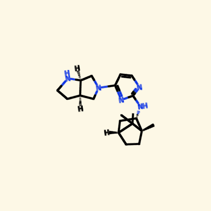 CC1(C)[C@@H]2CC[C@@]1(C)[C@@H](Nc1nccc(N3C[C@H]4CCN[C@H]4C3)n1)C2